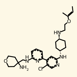 C/C=C(\C)OCCN[C@H]1CC[C@H](Nc2cc(-c3cccc(NCC4(N)CCOCC4)n3)c(Cl)cn2)CC1